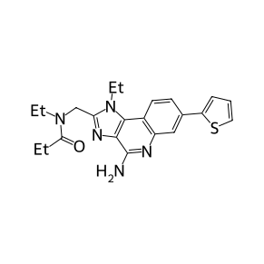 CCC(=O)N(CC)Cc1nc2c(N)nc3cc(-c4cccs4)ccc3c2n1CC